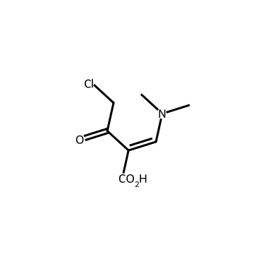 CN(C)C=C(C(=O)O)C(=O)CCl